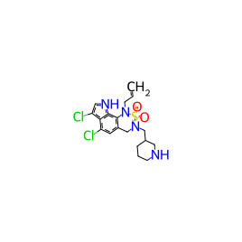 C=CCN1c2c(cc(Cl)c3c(Cl)c[nH]c23)CN(CC2CCCNC2)S1(=O)=O